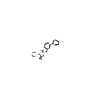 O=c1c2cc(-c3ccc(OC(F)(F)F)cc3)ccc2nnn1CC1(CN2CCOCC2)CC1